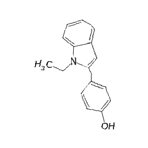 CCn1c(-c2ccc(O)cc2)cc2ccccc21